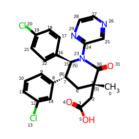 C[C@@]1(CC(=O)O)C[C@H](c2cccc(Cl)c2)[C@@H](c2ccc(Cl)cc2)N(c2cnccn2)C1=O